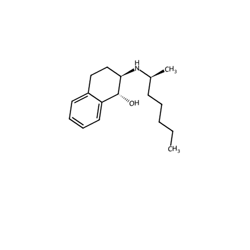 CCCCC[C@H](C)N[C@@H]1CCc2ccccc2[C@H]1O